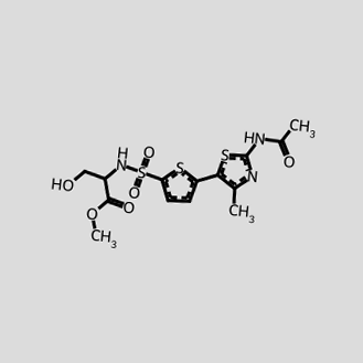 COC(=O)C(CO)NS(=O)(=O)c1ccc(-c2sc(NC(C)=O)nc2C)s1